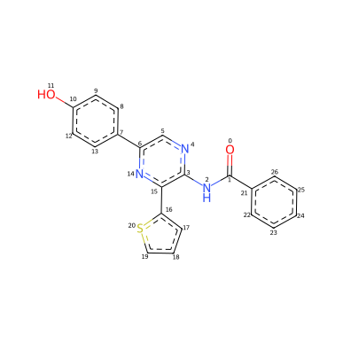 O=C(Nc1ncc(-c2ccc(O)cc2)nc1-c1cccs1)c1ccccc1